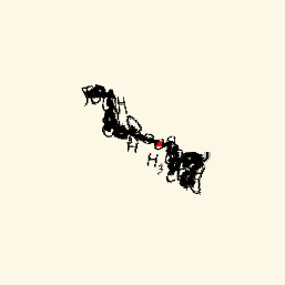 Cc1ccc(NC(=O)C2(c3ccc4c(c3)OC(F)(F)O4)CC2)nc1-c1cccc(C(=O)NCCOCCOCCC(=O)N2CCC(Oc3c(C)cc(Cl)cc3-c3ccnc4cc(CN5C(=O)CCC5O)sc34)CC2)c1